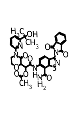 CC(=O)OC(C(=O)Nc1ccc2c(N3C(=O)c4ccccc4C3=O)nsc2c1C(N)=O)C1OCCN(c2cccc(C(C)(C)O)n2)C1=O